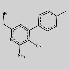 Cc1ccc(-c2cc(CC(C)C)nc(N)c2C#N)cc1